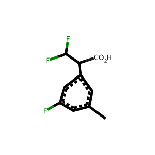 Cc1cc(F)cc(C(C(=O)O)C(F)F)c1